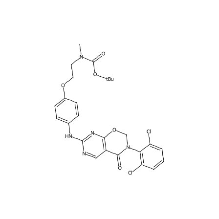 CN(CCOc1ccc(Nc2ncc3c(n2)OCN(c2c(Cl)cccc2Cl)C3=O)cc1)C(=O)OC(C)(C)C